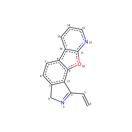 C=CC1=NCc2ccc3c(oc4ncccc43)c21